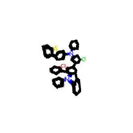 Clc1cc(-c2cc3c4ccccc4n(-c4ccccc4)c3c3c2oc2ccccc23)cc(N(c2ccccc2)c2ccc3c(c2)sc2ccccc23)c1